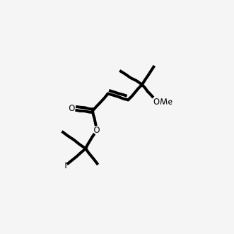 COC(C)(C)C=CC(=O)OC(C)(C)I